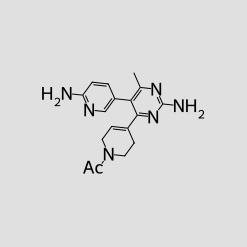 CC(=O)N1CC=C(c2nc(N)nc(C)c2-c2ccc(N)nc2)CC1